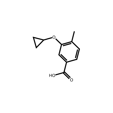 Cc1ccc(C(=O)O)cc1OC1CC1